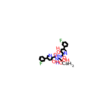 O=C(NC(NC(=O)c1ncc(-c2cccc(F)c2)cc1O)C(=O)O)c1ncc(-c2cccc(F)c2)cc1O.[CaH2]